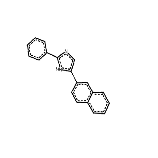 [c]1ccc(-c2ncc(-c3ccc4ccccc4c3)[nH]2)cc1